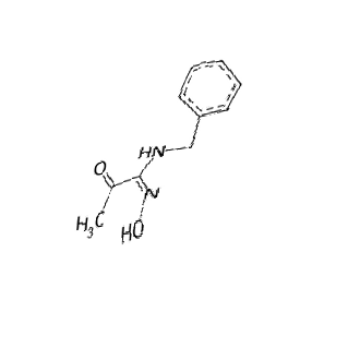 CC(=O)C(=NO)NCc1ccccc1